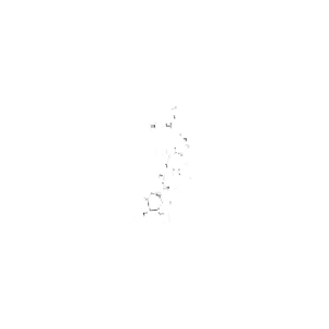 C[C@@H]1C(=O)N(C[C@@H](O)CN2CCC3(CC3)[C@H](O)C2)CCN1c1ccc(Cl)c(Cl)c1